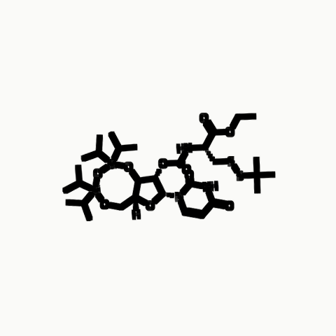 CCOC(=O)[C@H](CSSC(C)(C)C)NC(=O)O[C@H]1C2O[Si](C(C)C)(C(C)C)O[Si](C(C)C)(C(C)C)OC[C@H]2O[C@H]1n1ccc(=O)[nH]c1=O